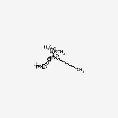 CCCCCCCCCCCCCCCC(=O)N[C@H](/C=C(\F)P(=O)(OCC)OCC)Cc1ccc(OCc2cc(OCC(F)(F)F)ccn2)cc1